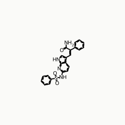 NC(=O)/C(=C\c1c[nH]c2nc(NS(=O)(=O)c3ccccc3)ccc12)c1ccccc1